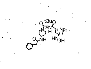 CC(C)C[C@H](CC(=O)NO)C(=O)N[C@H](C(=O)N1CCC(NC(=O)Cc2ccccc2)CC1)C(C)(C)C